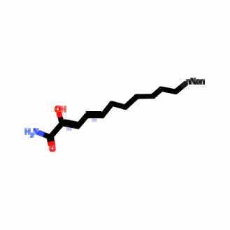 CCCCCCCCCCCCCCC/C=C/C=C(\O)C(N)=O